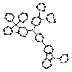 c1ccc(-c2ccc(N(c3ccc(-c4ccc5c(c4)c4ccccc4n5-c4ccccc4)cc3)c3ccc4c(c3)C(c3ccccc3)(c3ccccc3)c3ccccc3-4)cc2-c2ccccc2)cc1